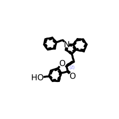 O=C1/C(=C/c2cn(Cc3ccccc3)c3ccccc23)Oc2cc(O)ccc21